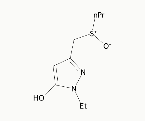 CCC[S+]([O-])Cc1cc(O)n(CC)n1